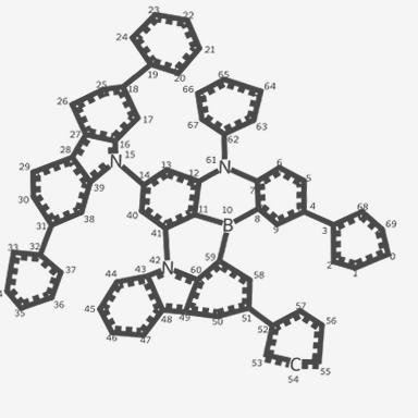 c1ccc(-c2ccc3c(c2)B2c4c(cc(-n5c6cc(-c7ccccc7)ccc6c6ccc(-c7ccccc7)cc65)cc4-n4c5ccccc5c5cc(-c6ccccc6)cc2c54)N3c2ccccc2)cc1